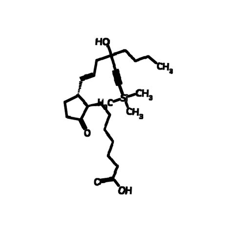 CCCCC(O)(C#C[Si](C)(C)C)CC=C[C@H]1CCC(=O)[C@@H]1CCCCCCC(=O)O